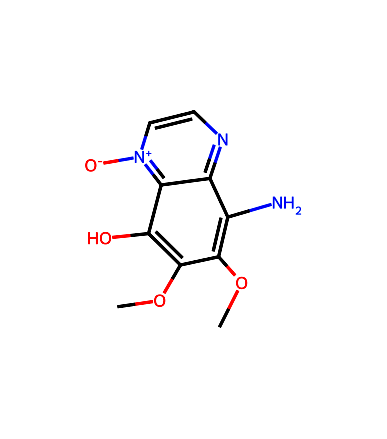 COc1c(OC)c(O)c2c(ncc[n+]2[O-])c1N